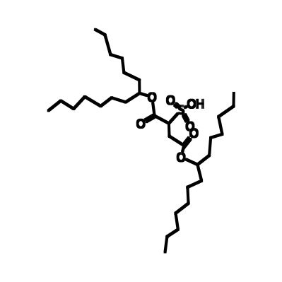 CCCCCCCC(CCCCCC)OC(=O)CC(C(=O)OC(CCCCCC)CCCCCCC)S(=O)(=O)O